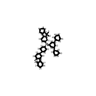 CC1(C)c2ccccc2C2=CC=C(N(c3ccc(-c4ccc5sc6ccccc6c5c4)cc3)c3cc(-c4ccccc4)cc(-c4ccccc4)c3)CC21